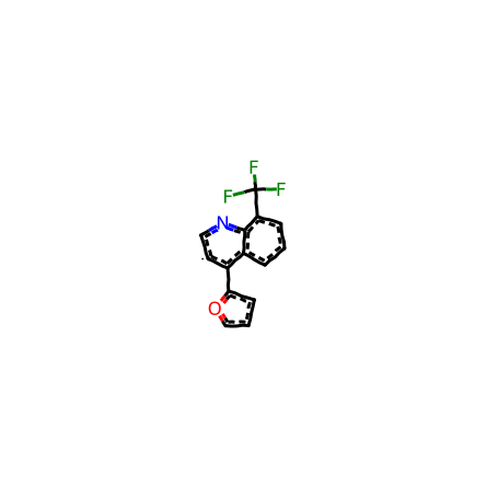 FC(F)(F)c1cccc2c(-c3ccco3)[c]cnc12